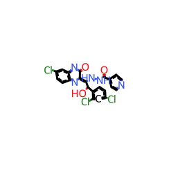 O=C1N=c2cc(Cl)ccc2=NC1=C(NNC(=O)c1ccncc1)C(O)c1ccc(Cl)cc1Cl